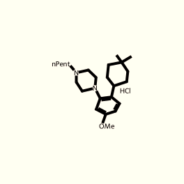 CCCCCN1CCN(c2cc(OC)ccc2C2CCC(C)(C)CC2)CC1.Cl